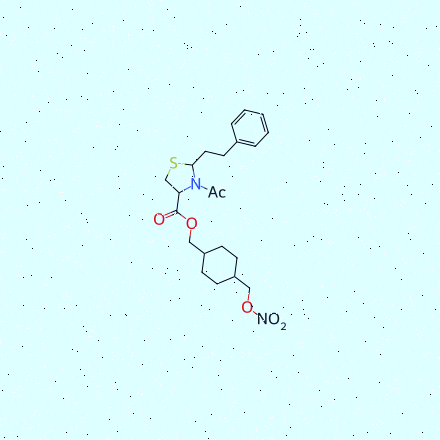 CC(=O)N1C(CCc2ccccc2)SCC1C(=O)OCC1CCC(CO[N+](=O)[O-])CC1